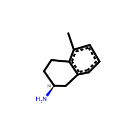 Cc1cccc2c1CC[C@H](N)C2